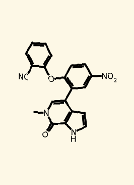 Cn1cc(-c2cc([N+](=O)[O-])ccc2Oc2ccccc2C#N)c2cc[nH]c2c1=O